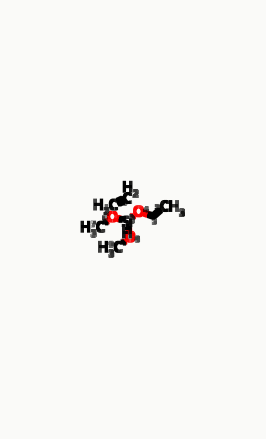 C=C.CCO[SiH](OC)OC